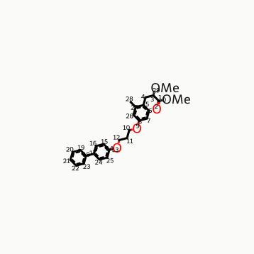 COC(=O)C(Cc1ccc(OCCCOc2ccc(-c3ccccc3)cc2)cc1C)OC